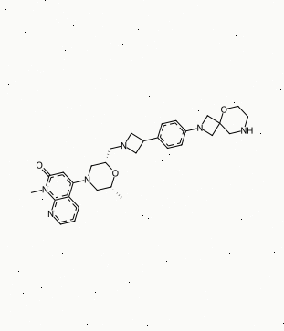 C[C@@H]1CN(c2cc(=O)n(C)c3ncccc23)C[C@H](CN2CC(c3ccc(N4CC5(CNCCO5)C4)cc3)C2)O1